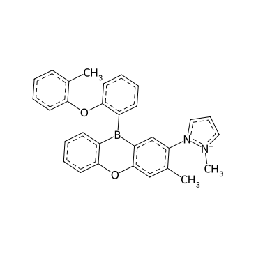 Cc1ccccc1Oc1ccccc1B1c2ccccc2Oc2cc(C)c(-n3ccc[n+]3C)cc21